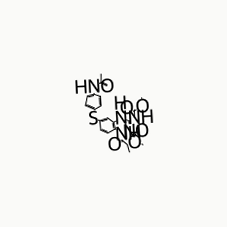 CCC(=O)Nc1ccc(Sc2ccc(NC(C)=O)cc2)cc1NC(=NC(=O)OC)NC(=O)OC